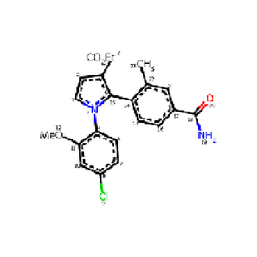 CCOC(=O)c1ccn(-c2ccc(Cl)cc2OC)c1-c1ccc(C(N)=O)cc1C